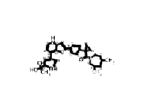 CC1CCN(C(=O)C2(c3ccc(C4=CC5NC=CC(C6=CC(C(C)(C)O)NC=C6)=C5O4)cc3)CC2)C[C@H](C)C1